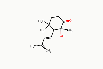 C=C(C)C=CC1C(C)(C)CCC(=O)C1(C)O